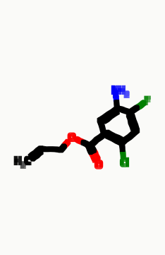 C=CCOC(=O)c1cc(N)c(F)cc1Cl